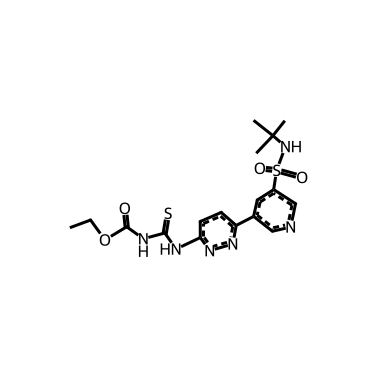 CCOC(=O)NC(=S)Nc1ccc(-c2cncc(S(=O)(=O)NC(C)(C)C)c2)nn1